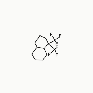 FC(F)(F)C1(C(F)(F)F)CCCC2CCCCC21